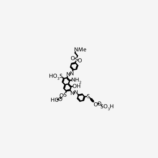 CNCCS(=O)(=O)c1ccc(N=Nc2c(S(=O)(=O)O)cc3cc(SOOO)c(N=Nc4cccc(SC#COOS(=O)(=O)O)c4)c(O)c3c2N)cc1